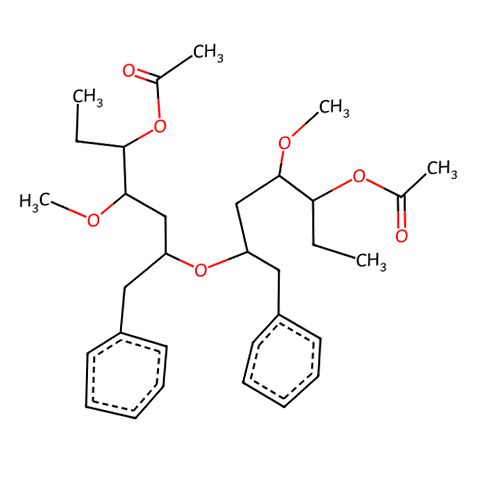 CCC(OC(C)=O)C(CC(Cc1ccccc1)OC(Cc1ccccc1)CC(OC)C(CC)OC(C)=O)OC